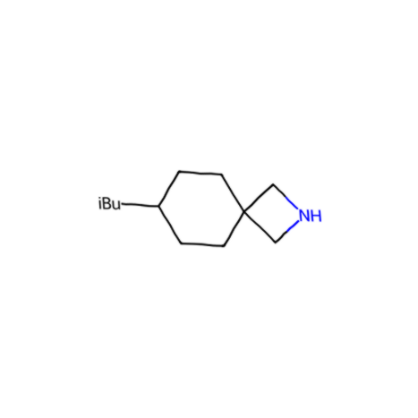 CCC(C)C1CCC2(CC1)CNC2